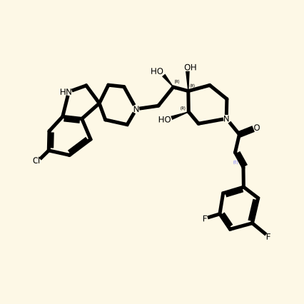 O=C(/C=C/c1cc(F)cc(F)c1)N1CC[C@@](O)([C@H](O)CN2CCC3(CC2)CNc2cc(Cl)ccc23)[C@H](O)C1